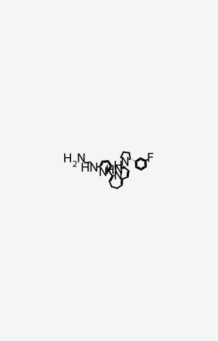 N=C(/C=C\C1=CCCC=C(c2cccc(NCCN)n2)N1)N1CCC[C@@H]1c1cccc(F)c1